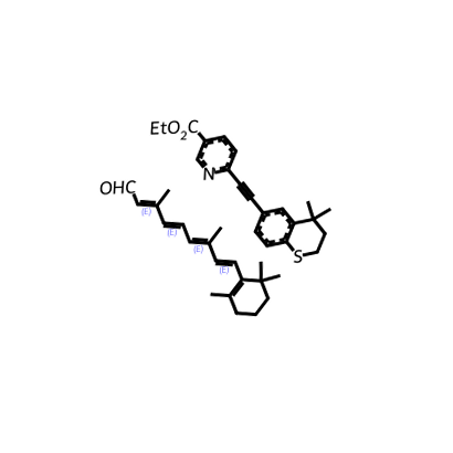 CC1=C(/C=C/C(C)=C/C=C/C(C)=C/C=O)C(C)(C)CCC1.CCOC(=O)c1ccc(C#Cc2ccc3c(c2)C(C)(C)CCS3)nc1